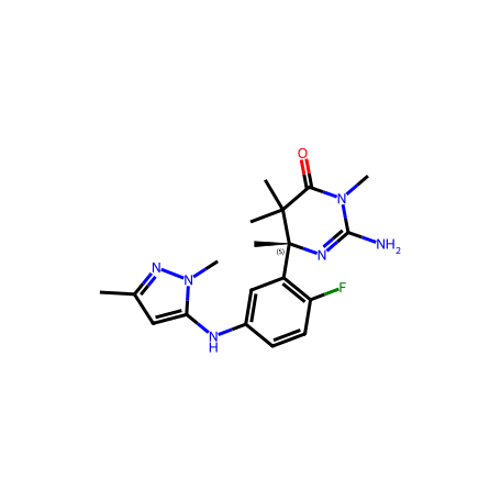 Cc1cc(Nc2ccc(F)c([C@@]3(C)N=C(N)N(C)C(=O)C3(C)C)c2)n(C)n1